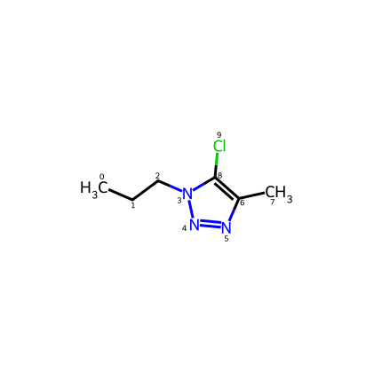 CCCn1nnc(C)c1Cl